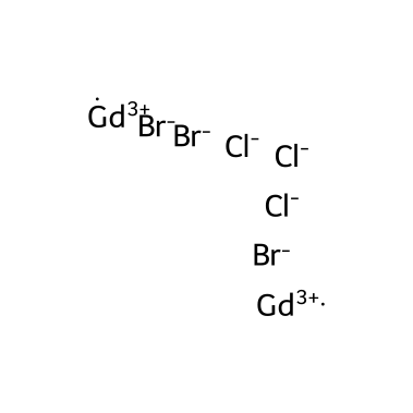 [Br-].[Br-].[Br-].[Cl-].[Cl-].[Cl-].[Gd+3].[Gd+3]